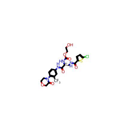 O=C(N[C@H](CNC(=O)c1ccc(Cl)s1)C(=O)Nc1ccc(N2CCOCC2=O)c(C(F)(F)F)c1)OCCO